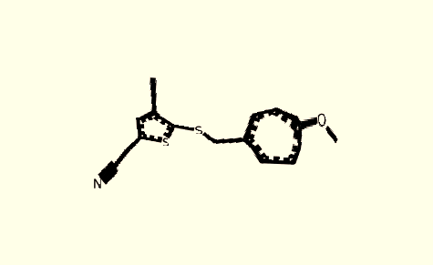 COc1ccc(CSc2sc(C#N)cc2C)cc1